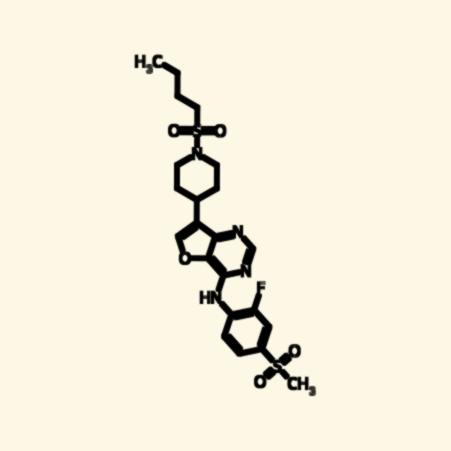 CCCCS(=O)(=O)N1CCC(c2coc3c(Nc4ccc(S(C)(=O)=O)cc4F)ncnc23)CC1